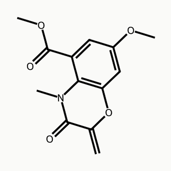 C=C1Oc2cc(OC)cc(C(=O)OC)c2N(C)C1=O